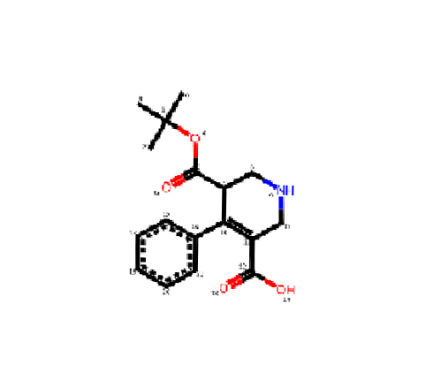 CC(C)(C)OC(=O)C1CNCC(C(=O)O)=C1c1ccccc1